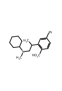 CC(C)c1ccc(C(=O)O)c(C(C)CN(C)C2CCCCC2)c1